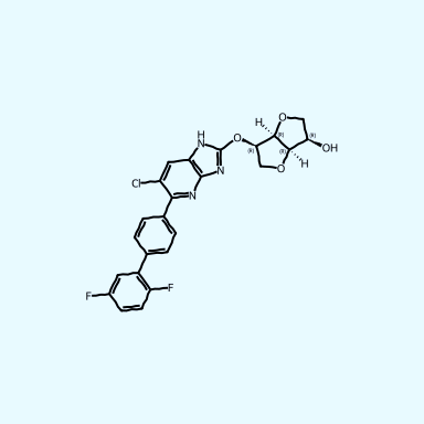 O[C@@H]1CO[C@H]2[C@@H]1OC[C@H]2Oc1nc2nc(-c3ccc(-c4cc(F)ccc4F)cc3)c(Cl)cc2[nH]1